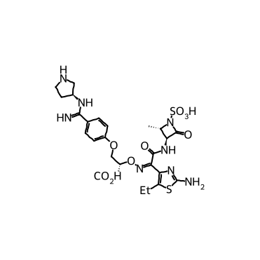 CCc1sc(N)nc1/C(=N/O[C@@H](COc1ccc(C(=N)N[C@H]2CCNC2)cc1)C(=O)O)C(=O)N[C@@H]1C(=O)N(S(=O)(=O)O)[C@H]1C